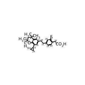 CC1(C)CC(C)(C)c2cc(CCc3ccc(CC(=O)O)c(F)c3)cc(C3CC3)c2O1